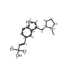 CCC(O)(C=Cc1ccc2[nH]cc(C[C@H]3CCCN3C)c2c1)CC